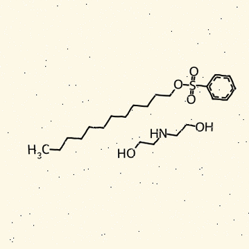 CCCCCCCCCCCCOS(=O)(=O)c1ccccc1.OCCNCCO